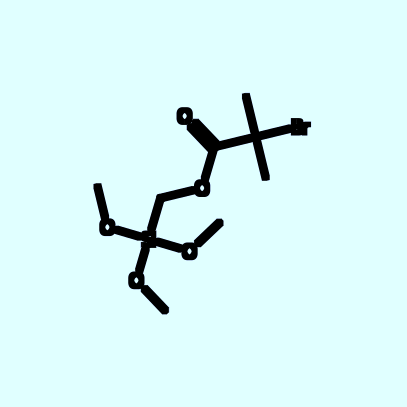 CO[Si](COC(=O)C(C)(C)Br)(OC)OC